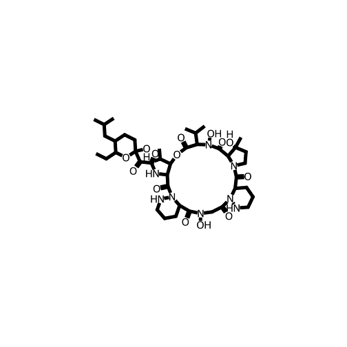 CCC1OC(O)(C(=O)C(=O)NC2C(=O)N3NCCCC3C(=O)N(O)CC(=O)N3NCCCC3C(=O)N3CCC(C)(O)C3C(=O)N(O)C(C(C)C)C(=O)OC2C(C)C)CCC1CC(C)C